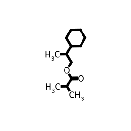 CC(C)C(=O)OCC(C)C1CCCCC1